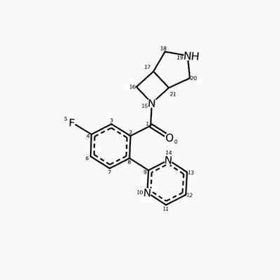 O=C(c1cc(F)ccc1-c1ncccn1)N1CC2CNCC21